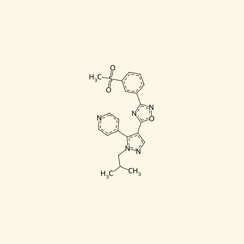 CC(C)Cn1ncc(-c2nc(-c3cccc(S(C)(=O)=O)c3)no2)c1-c1ccncc1